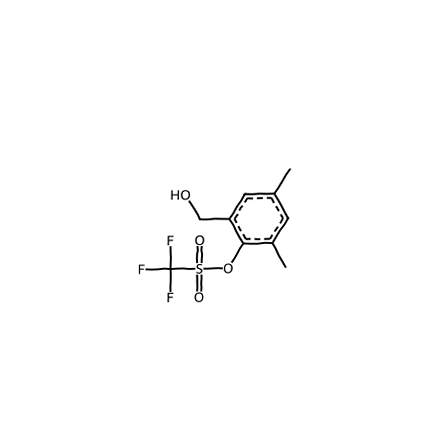 Cc1cc(C)c(OS(=O)(=O)C(F)(F)F)c(CO)c1